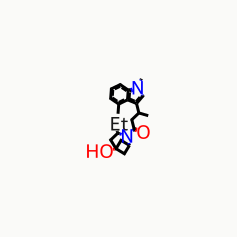 CCC1CC2(O)CC(C2)N1C(=O)CC(C)c1cn(C)c2cccc(C)c12